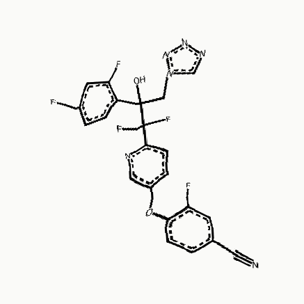 N#Cc1ccc(Oc2ccc(C(F)(F)C(O)(Cn3cnnn3)c3ccc(F)cc3F)nc2)c(F)c1